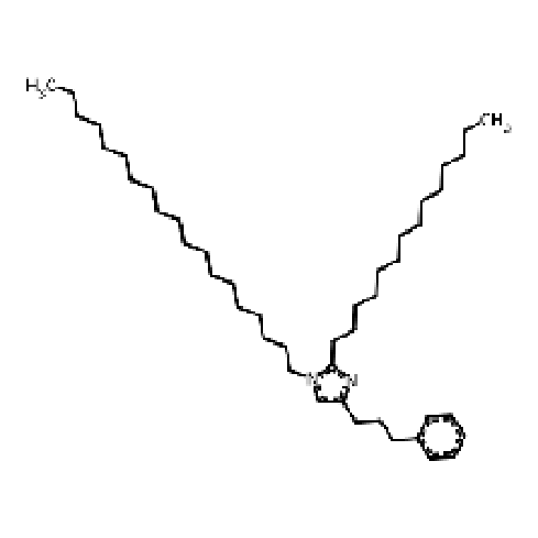 CCCCCCCCCCCCCCCCCCCn1cc(CCCc2ccccc2)nc1CCCCCCCCCCCCCC